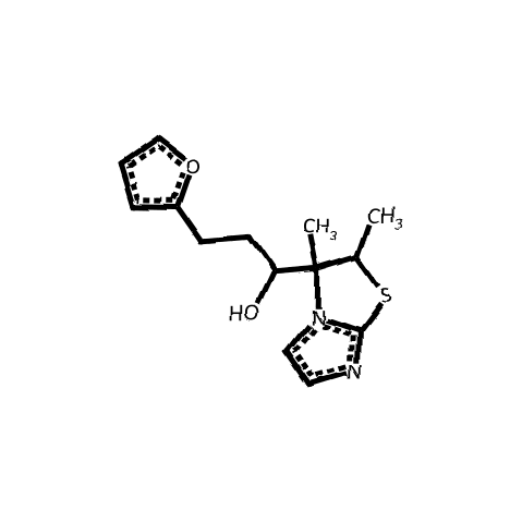 CC1Sc2nccn2C1(C)C(O)CCc1ccco1